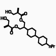 C=C(CO)C(=O)OCC(COC(=O)C(=C)CO)C1CCC(C2CCC(CCC)CC2)CC1